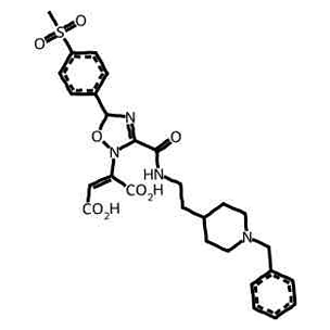 CS(=O)(=O)c1ccc(C2N=C(C(=O)NCCC3CCN(Cc4ccccc4)CC3)N(/C(=C/C(=O)O)C(=O)O)O2)cc1